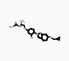 CC(=O)N[C@@H](C)COc1ccc(-n2cc3ccc(OCC4CC4)cc3n2)c(Cl)c1